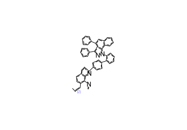 C=Nc1c(/C=C\C)ccc2ccc(-c3ccc(-c4ccccc4-n4nc(-c5ccccc5)c5c(-c6ccccc6)cc6ccccc6c54)cc3)nc12